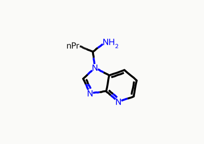 CCCC(N)n1cnc2ncccc21